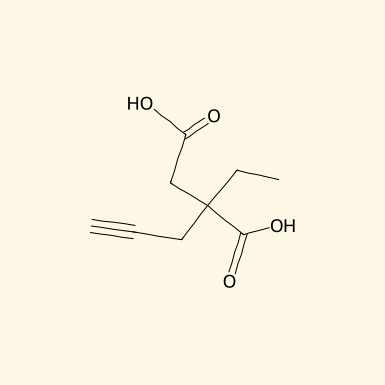 C#CCC(CC)(CC(=O)O)C(=O)O